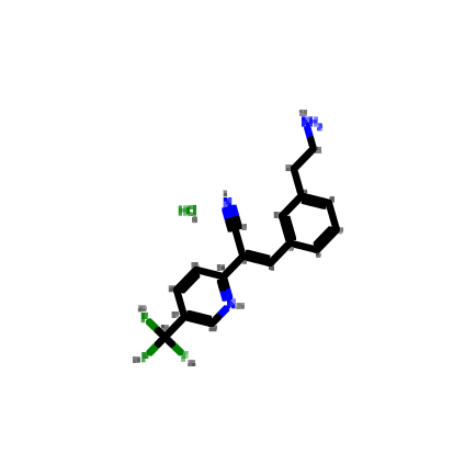 Cl.N#CC(=Cc1cccc(CCN)c1)c1ccc(C(F)(F)F)cn1